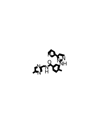 Cc1cnc(CNC(=O)c2ccc(C)c(Nc3nccc(-c4cccnc4)n3)c2)cn1